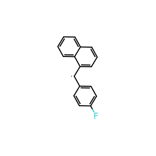 Fc1ccc([CH]c2cccc3ccccc23)cc1